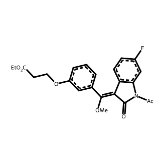 CCOC(=O)CCOc1cccc(C(OC)=C2C(=O)N(C(C)=O)c3cc(F)ccc32)c1